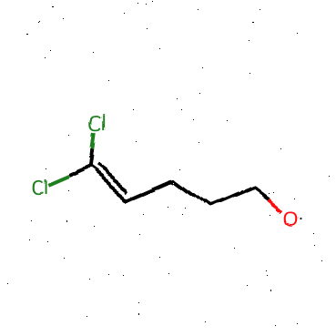 [O]CCCC=C(Cl)Cl